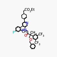 CCOC(=O)CC1CC=C(c2cc(-c3ccc(F)cc3C)c(NCC(=O)C(C)(COCc3ccccc3)c3cc(C(F)(F)F)cc(C(F)(F)F)c3)cn2)CC1